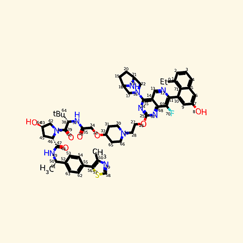 CCc1cccc2cc(O)cc(-c3ncc4c(N5CC6CCC(C5)N6)nc(OCCN5CCC(OCC(=O)N[C@H](C(=O)N6C[C@H](O)C[C@H]6C(=O)N[C@@H](C)c6ccc(-c7scnc7C)cc6)C(C)(C)C)CC5)nc4c3F)c12